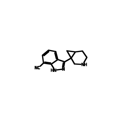 N#Cc1cccc2c(C34CNCCC3C4)n[nH]c12